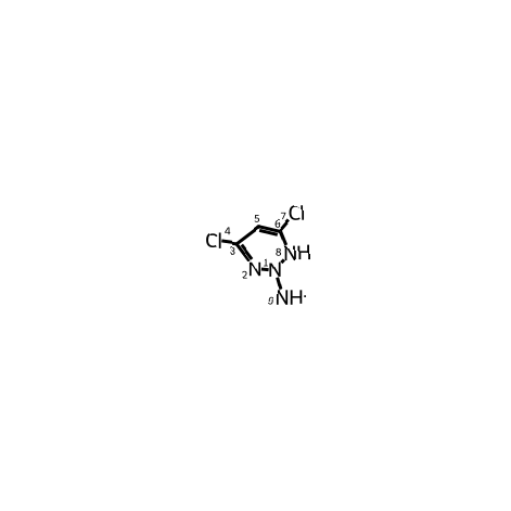 [NH]N1N=C(Cl)C=C(Cl)N1